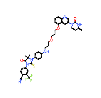 C=C1C=CN(c2cnc3cccc(OCCCOCCCNc4ccc(N5C(=S)N(c6ccc(C#N)c(C(F)(F)F)c6)C(=O)C5(C)C)cc4)c3c2)C(=O)N1